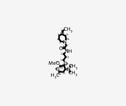 C/C=C1/CCCN(CC(=O)NCCCO[C@H]2[C@H](OC)O[C@H](C)C[C@@H]2N(C)C)CC1